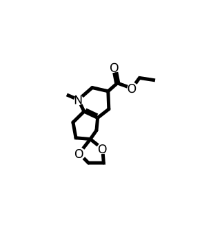 CCOC(=O)C1CC2=C(CCC3(C2)OCCO3)N(C)C1